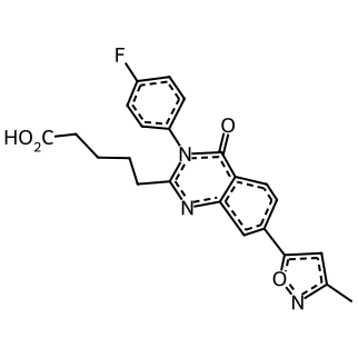 Cc1cc(-c2ccc3c(=O)n(-c4ccc(F)cc4)c(CCCCC(=O)O)nc3c2)on1